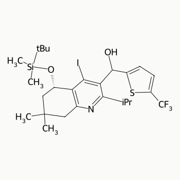 CC(C)c1nc2c(c(I)c1C(O)c1ccc(C(F)(F)F)s1)[C@@H](O[Si](C)(C)C(C)(C)C)CC(C)(C)C2